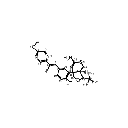 COc1cnc(/C(F)=C/c2ccc(F)c([C@]34CO[C@H](C(F)(F)F)[C@H]3CSC(N)=N4)c2)cn1